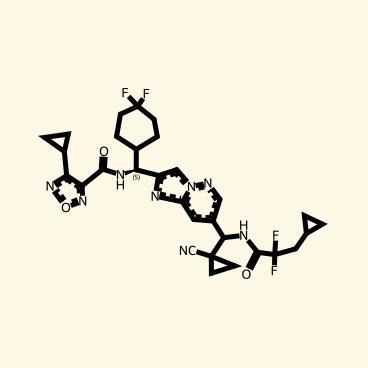 N#CC1(C(NC(=O)C(F)(F)CC2CC2)c2cnn3cc([C@@H](NC(=O)c4nonc4C4CC4)C4CCC(F)(F)CC4)nc3c2)CC1